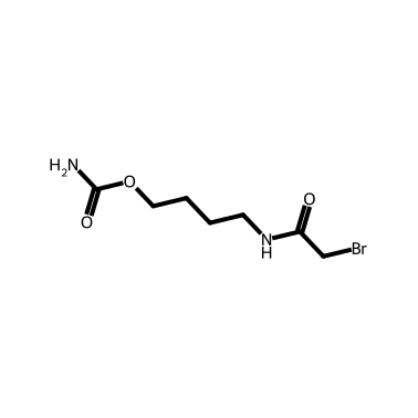 NC(=O)OCCCCNC(=O)CBr